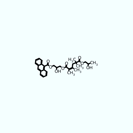 C/C(CC(C)(C)C(=O)OCC(C)O)=C(\C)C(=O)OCC(O)COC(=O)c1c2ccccc2cc2ccccc12